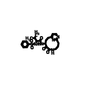 CC(C)C(NS(=O)(=O)c1ccccc1)C(=O)NC1CCc2ccnc(n2)CCCNC(=O)C1=O